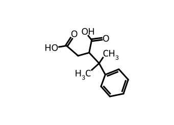 CC(C)(c1ccccc1)C(CC(=O)O)C(=O)O